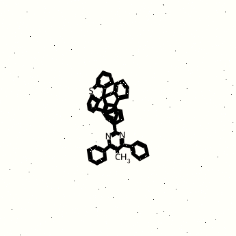 Cc1c(-c2ccccc2)nc(-c2cccc(-c3cccc4c3C3(c5ccccc5S4)c4ccccc4-c4ccccc43)c2)nc1-c1ccccc1